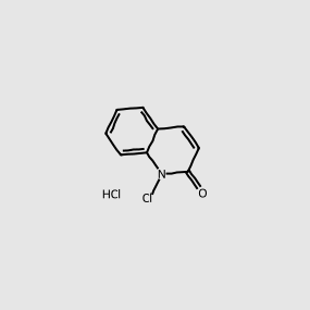 Cl.O=c1ccc2ccccc2n1Cl